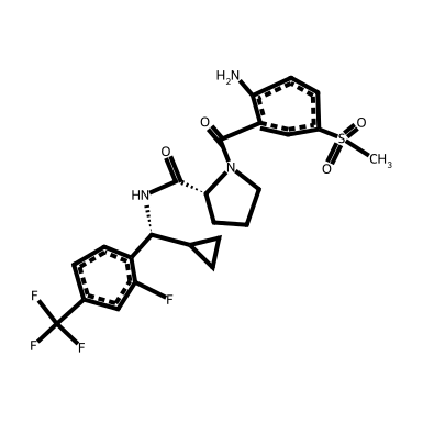 CS(=O)(=O)c1ccc(N)c(C(=O)N2CCC[C@@H]2C(=O)N[C@@H](c2ccc(C(F)(F)F)cc2F)C2CC2)c1